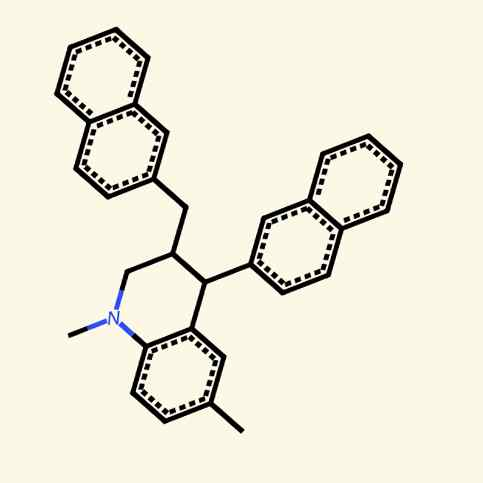 Cc1ccc2c(c1)C(c1ccc3ccccc3c1)C(Cc1ccc3ccccc3c1)CN2C